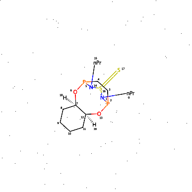 CCCN1P2CCP(O[C@@H]3CCCC[C@@H]3O2)N(CCC)S1=S